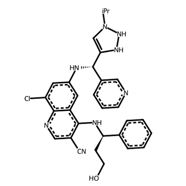 CC(C)N1C=C([C@@H](Nc2cc(Cl)c3ncc(C#N)c(N[C@H](CCO)c4ccccc4)c3c2)c2cccnc2)NN1